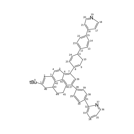 CC(C)(C)C1=Cc2ccc3c(C4=CCC(c5ccc(-c6ccncc6)cc5)C=C4)cc(-c4ccc(-c5ccccn5)cc4)c4c3c2C(CC4)C1